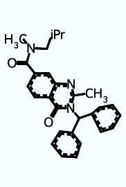 Cc1nc2cc(C(=O)N(C)CC(C)C)ccc2c(=O)n1C(c1ccccc1)c1ccccc1